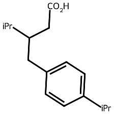 CC(C)c1ccc(CC(C[14C](=O)O)C(C)C)cc1